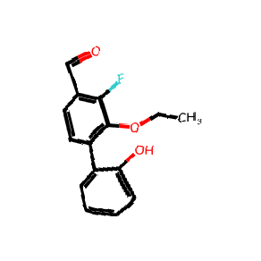 CCOc1c(-c2ccccc2O)ccc(C=O)c1F